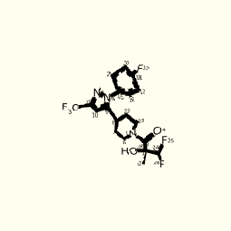 C[C@@](O)(C(=O)N1CCC(c2cc(C(F)(F)F)nn2-c2ccc(F)cc2)CC1)C(F)F